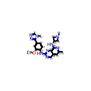 CCOc1cc(-c2nncn2C)ccc1Nc1ncc2cc(C)nc(NC3CN(C)C3)c2n1